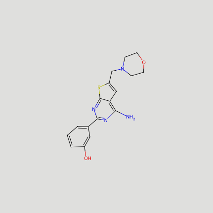 Nc1nc(-c2cccc(O)c2)nc2sc(CN3CCOCC3)cc12